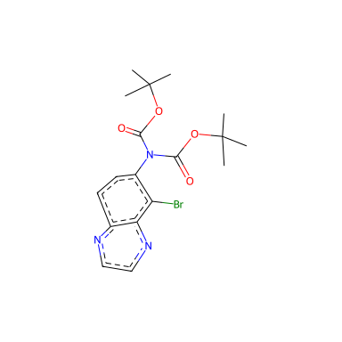 CC(C)(C)OC(=O)N(C(=O)OC(C)(C)C)c1ccc2nccnc2c1Br